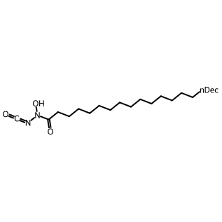 CCCCCCCCCCCCCCCCCCCCCCCCC(=O)N(O)N=C=O